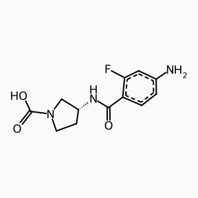 Nc1ccc(C(=O)N[C@@H]2CCN(C(=O)O)C2)c(F)c1